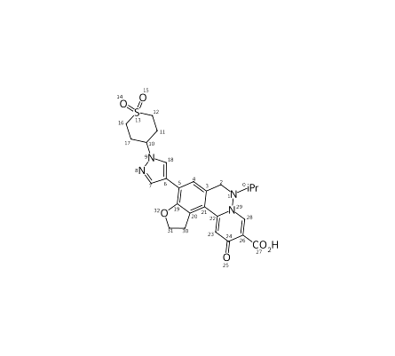 CC(C)N1Cc2cc(-c3cnn(C4CCS(=O)(=O)CC4)c3)c3c(c2-c2cc(=O)c(C(=O)O)cn21)CCO3